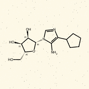 Nc1c(C2CCCC2)ncn1[C@@H]1O[C@H](CO)[C@@H](O)[C@H]1O